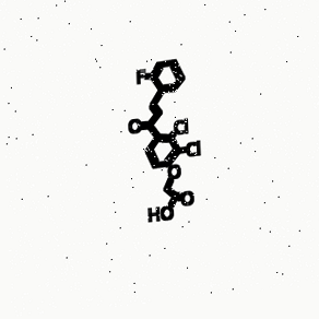 O=C(O)COc1ccc(C(=O)C=Cc2ccccc2F)c(Cl)c1Cl